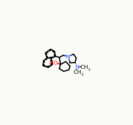 CN(C)[C@H]1CCN(CC(c2cccc3ccccc23)C2(O)CCCCC2)C1